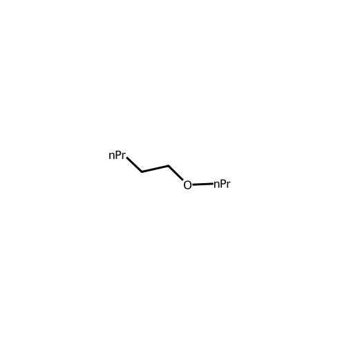 C[CH]COCCCCC